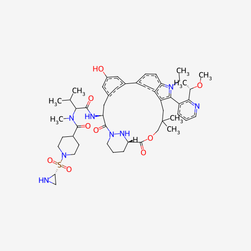 CCn1c(-c2cccnc2[C@H](C)OC)c2c3cc(ccc31)-c1cc(O)cc(c1)C[C@H](NC(=O)C(C(C)C)N(C)C(=O)C1CCN(S(=O)(=O)[C@@H]3CN3)CC1)C(=O)N1CCC[C@H](N1)C(=O)OCC(C)(C)C2